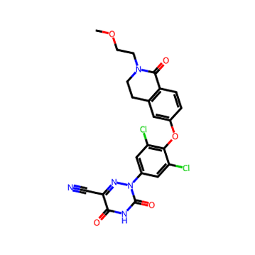 COCCN1CCc2cc(Oc3c(Cl)cc(-n4nc(C#N)c(=O)[nH]c4=O)cc3Cl)ccc2C1=O